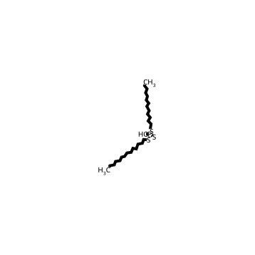 CCCCCCCCCCCCCCSP(O)(=S)SCCCCCCCCCCCCCC